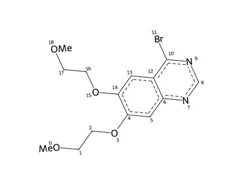 COCCOc1cc2ncnc(Br)c2cc1OCCOC